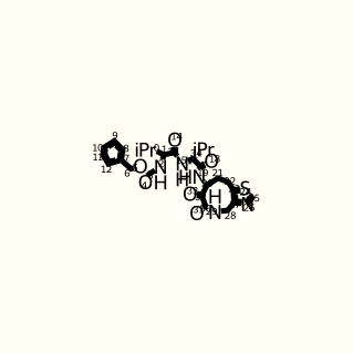 CC(C)C(NC(=O)OCc1ccccc1)C(=O)NC(C(=O)NC1CCc2scnc2CNC(=O)C1=O)C(C)C